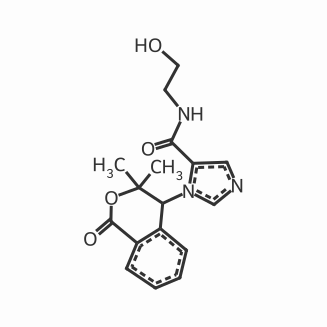 CC1(C)OC(=O)c2ccccc2C1n1cncc1C(=O)NCCO